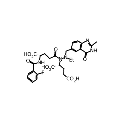 CCN(Cc1ccc2nc(C)[nH]c(=O)c2c1)N(C(=O)CC[C@H](NC(=O)c1ccccc1F)C(=O)O)[C@H](CCC(=O)O)C(=O)O